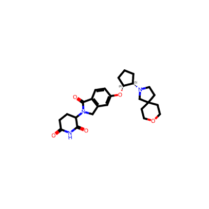 O=C1CCC(N2Cc3cc(O[C@@H]4CCC[C@@H]4N4CCC5(CCOCC5)C4)ccc3C2=O)C(=O)N1